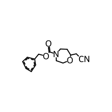 N#CCC1CCN(C(=O)OCc2ccccc2)CCO1